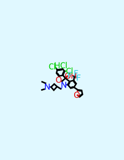 CCN(CC)C1CC(CN2C(=O)C(O)(c3ccc(Cl)cc3Cl)c3c2cc(-c2ccco2)cc3C(F)(F)F)C1.Cl